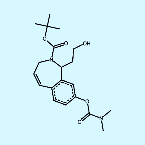 CN(C)C(=O)Oc1ccc2c(c1)C(CCO)N(C(=O)OC(C)(C)C)CC=C2